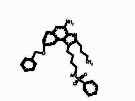 CCCCc1nc2c(N)nc3ccc(OCc4ccccc4)cc3c2n1CCCCNS(=O)(=O)c1ccccc1